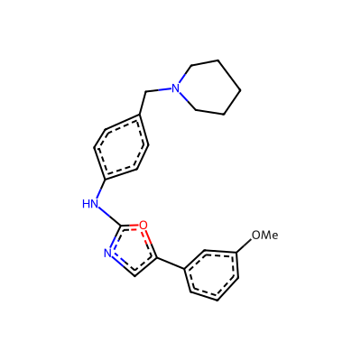 COc1cccc(-c2cnc(Nc3ccc(CN4CCCCC4)cc3)o2)c1